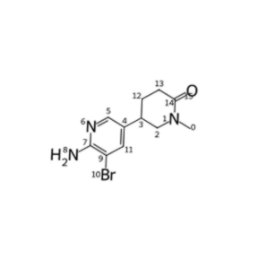 CN1CC(c2cnc(N)c(Br)c2)CCC1=O